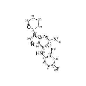 CSc1nc(Nc2ccc(F)cc2F)c2ncn(C3CCCCO3)c2n1